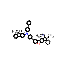 C=CC1=C(/C=C\C)c2cc3c(cc2C12CCCCC2)oc1ccc(-c2ccc(N(c4ccc(-c5ccccc5)cc4)c4ccc5c(c4)C(C)(C)c4ccccc4-5)cc2)cc13